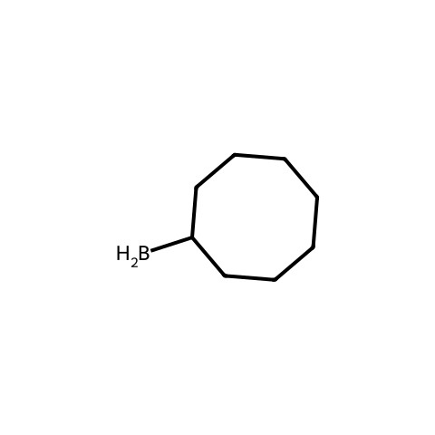 BC1CCCCCCC1